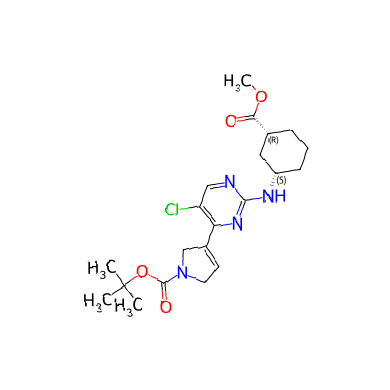 COC(=O)[C@@H]1CCC[C@H](Nc2ncc(Cl)c(C3=CCN(C(=O)OC(C)(C)C)C3)n2)C1